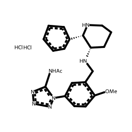 COc1ccc(-n2nnnc2NC(C)=O)cc1CN[C@H]1CCCN[C@H]1c1ccccc1.Cl.Cl